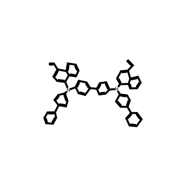 C=Cc1ccc(N(c2ccc(-c3ccccc3)cc2)c2ccc(-c3ccc(N(c4ccc(-c5ccccc5)cc4)c4ccc(C=C)c5ccccc45)cc3)cc2)c2ccccc12